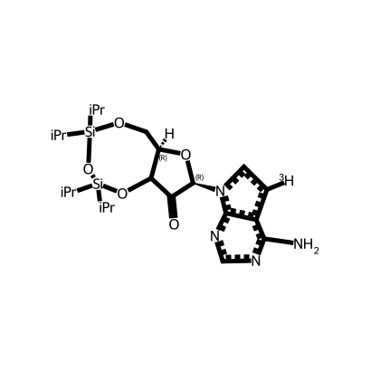 [3H]c1cn([C@@H]2O[C@@H]3CO[Si](C(C)C)(C(C)C)O[Si](C(C)C)(C(C)C)OC3C2=O)c2ncnc(N)c12